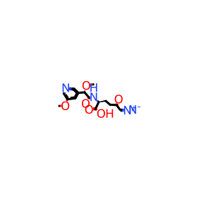 COc1cncc([C@H](OC)C(=O)N[C@@H](CCC(=O)C=[N+]=[N-])C(=O)O)c1